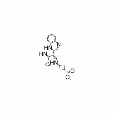 COC(=O)C1CC(N/C=C(\C(=N)C2CC2)C2C=Nc3ccccc3N2)C1